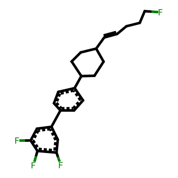 FCCC/C=C/C1CCC(c2ccc(-c3cc(F)c(F)c(F)c3)cc2)CC1